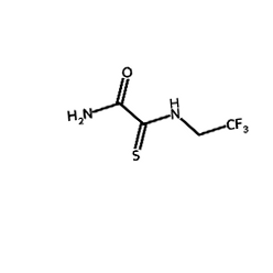 NC(=O)C(=S)NCC(F)(F)F